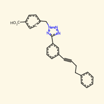 O=C(O)c1ccc(Cn2nnc(-c3cccc(C#CCCc4ccccc4)c3)n2)cc1